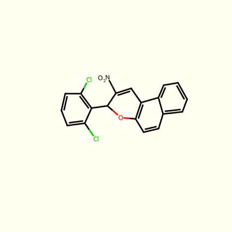 O=[N+]([O-])C1=Cc2c(ccc3ccccc23)OC1c1c(Cl)cccc1Cl